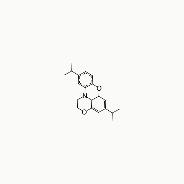 CC(C)C1=CC2Oc3ccc(C(C)C)cc3N3CCOC(=C1)C23